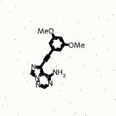 COc1cc(C#Cc2ncn3ncnc(N)c23)cc(OC)c1